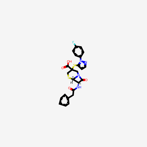 O=C(Cc1ccccc1)N[C@@H]1C(=O)N2CC(Sc3ccnn3-c3ccc(F)cc3)(C(=O)O)CS[C@H]12